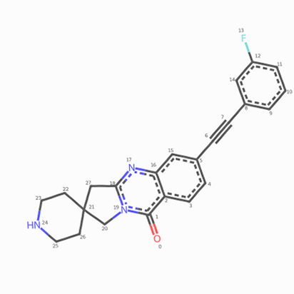 O=c1c2ccc(C#Cc3cccc(F)c3)cc2nc2n1CC1(CCNCC1)C2